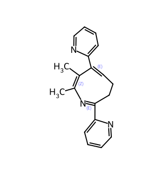 CC1=C(C)/C(c2ccccn2)=C\CC/C(c2ccccn2)=N\1